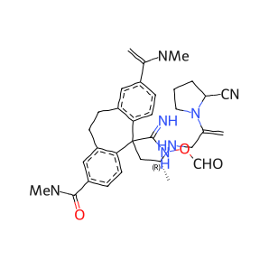 C=C(NC)c1ccc2c(c1)CCc1cc(C(=O)NC)ccc1C2(C[C@@H](C)NCC(=C)N1CCCC1C#N)C(=N)NOC=O